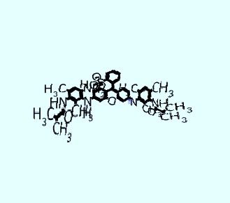 Cc1cc(C)c(NC(=O)C(C)C)c(C)c1/N=c1\ccc2c(-c3ccccc3S(=O)(=O)O)c3ccc(Nc4c(N)cc(C)c(NC(=O)C(C)C)c4C)cc3oc-2c1